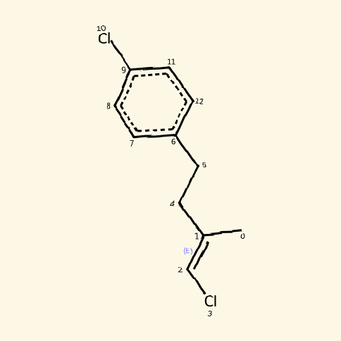 C/C(=C\Cl)CCc1ccc(Cl)cc1